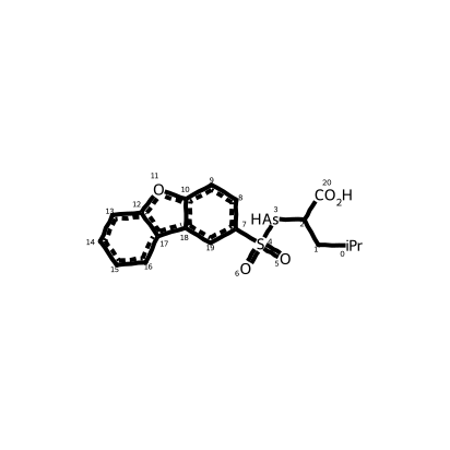 CC(C)CC([AsH]S(=O)(=O)c1ccc2oc3ccccc3c2c1)C(=O)O